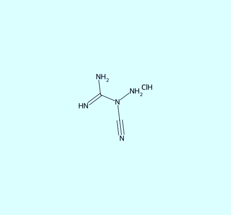 Cl.N#CN(N)C(=N)N